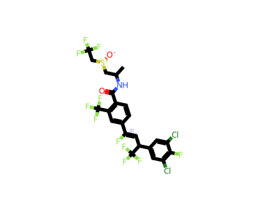 CC(C[S+]([O-])CC(F)(F)F)NC(=O)c1ccc(/C(F)=C/C(c2cc(Cl)c(F)c(Cl)c2)C(F)(F)F)cc1C(F)(F)F